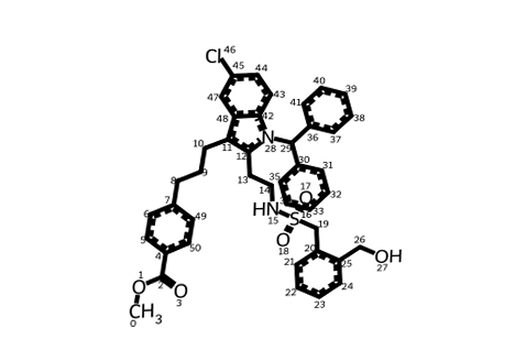 COC(=O)c1ccc(CCCc2c(CCNS(=O)(=O)Cc3ccccc3CO)n(C(c3ccccc3)c3ccccc3)c3ccc(Cl)cc23)cc1